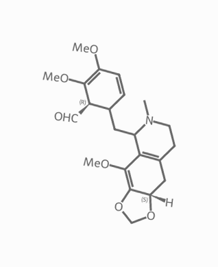 COC1=C(OC)[C@H](C=O)C(CC2C3=C(CCN2C)C[C@@H]2OCOC2=C3OC)C=C1